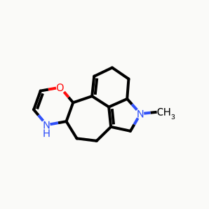 CN1CC2=C3C(=CCCC31)C1OC=CNC1CC2